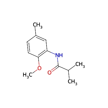 COc1ccc(C)cc1NC(=O)C(C)C